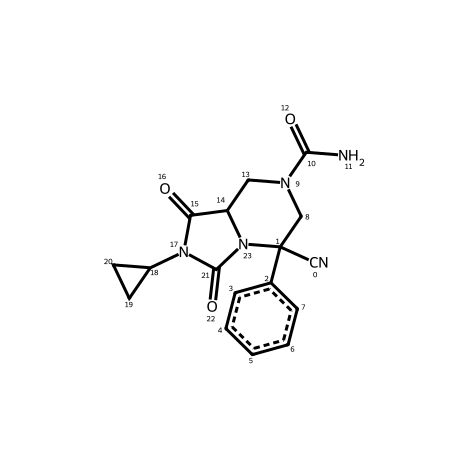 N#CC1(c2ccccc2)CN(C(N)=O)CC2C(=O)N(C3CC3)C(=O)N21